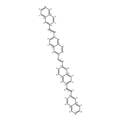 C(=C\c1ccc2cc(/N=N/c3ccc4ccccc4c3)ccc2c1)/c1ccc2cc(/N=N/c3ccc4ccccc4c3)ccc2c1